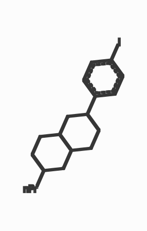 CCCC1CCC2CC(c3ccc(I)cc3)CCC2C1